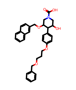 O=C(O)N1CC(O)C(c2ccc(OCCCOCc3ccccc3)cc2)C(OCc2ccc3ccccc3c2)C1